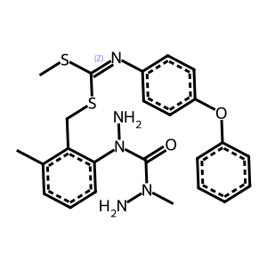 CS/C(=N/c1ccc(Oc2ccccc2)cc1)SCc1c(C)cccc1N(N)C(=O)N(C)N